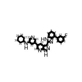 Fc1cccc(-c2cccc3[nH]c(-c4n[nH]c5ncc(-c6cncc(NC7CCCCC7)c6)cc45)nc23)c1